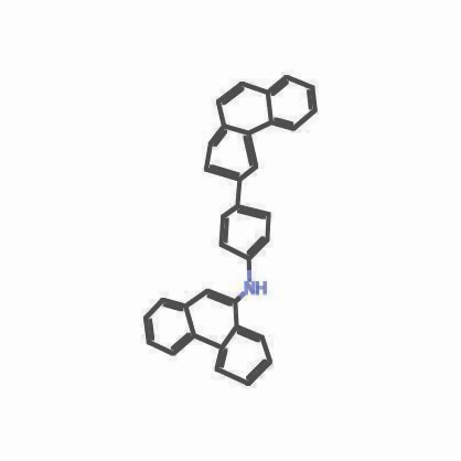 c1ccc2c(c1)ccc1ccc(-c3ccc(Nc4cc5ccccc5c5ccccc45)cc3)cc12